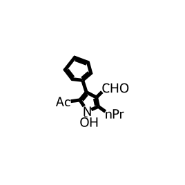 CCCc1c(C=O)c(-c2ccccc2)c(C(C)=O)n1O